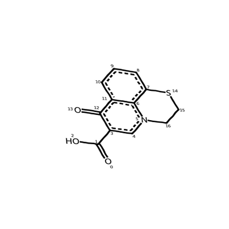 O=C(O)c1cn2c3c(cccc3c1=O)SCC2